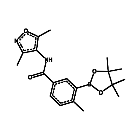 Cc1ccc(C(=O)Nc2c(C)noc2C)cc1B1OC(C)(C)C(C)(C)O1